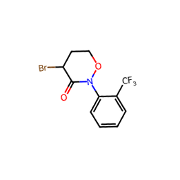 O=C1C(Br)CCON1c1ccccc1C(F)(F)F